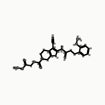 COC(=O)COC(=O)N1CCc2c(sc(NC(=O)CCc3ccccc3OC)c2C#N)C1